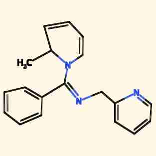 CC1C=CC=CN1/C(=N\Cc1ccccn1)c1ccccc1